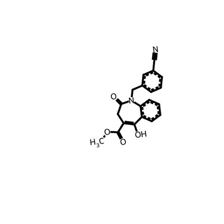 COC(=O)C1=C(O)c2ccccc2N(Cc2cccc(C#N)c2)C(=O)C1